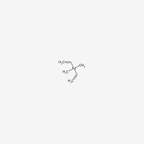 C=[CH][Pd]([CH3])([CH3])[CH]=C